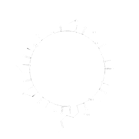 C/C=C/C[C@@H](C)[C@@H](O)[C@H]1C(=O)N[C@@H](CC)C(=O)N(C)CC(=O)N(C)CC(=O)N[C@@H](C(C)C)C(=O)N(C)[C@@H](CC(C)C)C(=O)N[C@@H](C)C(=O)N[C@H](C)C(=O)N(C)[C@@H](CC(C)C)C(=O)N(C)[C@H](CC(C)C)C(=O)N(C)[C@@H](C(C)C)C(=O)N1C